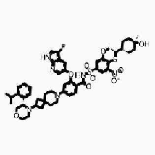 CC(C)c1ccccc1[C@H]1COCCN1C1CC2(CCN(c3ccc(C(=O)NS(=O)(=O)c4cc5c(c([N+](=O)[O-])c4)S[C@@H]([C@H]4CC[C@](C)(O)CC4)CO5)c(Oc4cnc5[nH]cc(F)c5c4)c3)CC2)C1